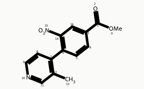 COC(=O)c1ccc(-c2ccncc2C)c([N+](=O)[O-])c1